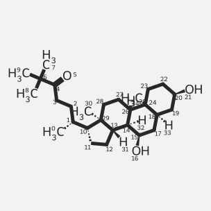 C[C@H](CCC(=O)C(C)(C)C)[C@H]1CC[C@H]2[C@@H]3[C@H](O)C[C@@H]4C[C@H](O)CC[C@]4(C)[C@H]3CC[C@]12C